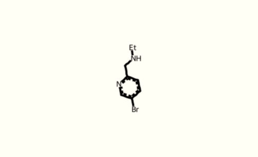 CCNCc1ccc(Br)cn1